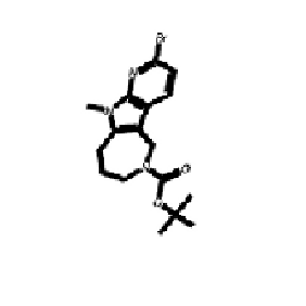 Cn1c2c(c3ccc(Br)nc31)CN(C(=O)OC(C)(C)C)CCC2